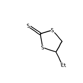 CCC1CSC(=S)S1